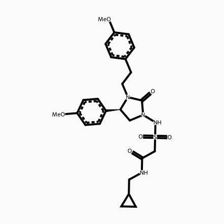 COc1ccc(CCN2C(=O)N(NS(=O)(=O)CC(=O)NCC3CC3)C[C@H]2c2ccc(OC)cc2)cc1